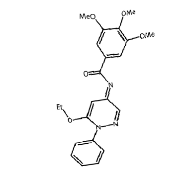 CCOc1c/c(=N\C(=O)c2cc(OC)c(OC)c(OC)c2)cnn1-c1ccccc1